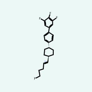 FCCC/C=C/[C@H]1CC[C@H](c2ccc(-c3cc(F)c(F)c(F)c3)cc2)CC1